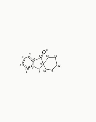 O=C1c2cccnc2CC12CCCCC2